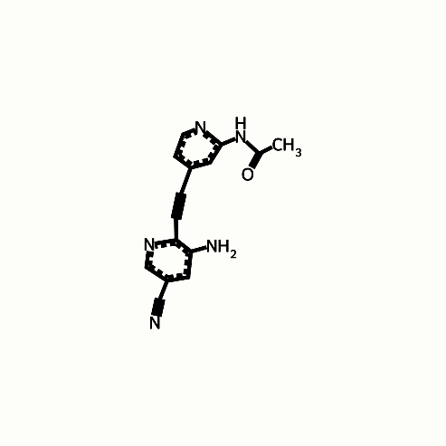 CC(=O)Nc1cc(C#Cc2ncc(C#N)cc2N)ccn1